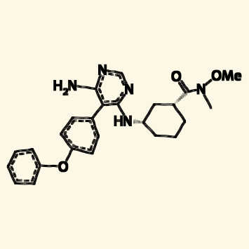 CON(C)C(=O)[C@@H]1CCC[C@H](Nc2ncnc(N)c2-c2ccc(Oc3ccccc3)cc2)C1